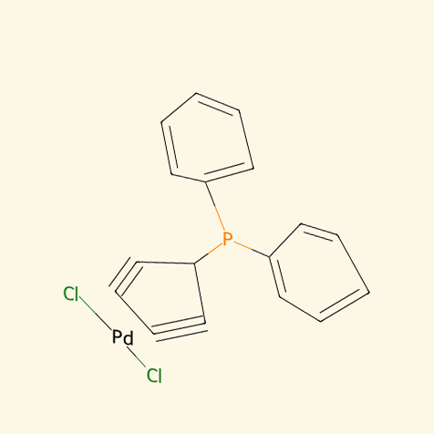 C1#CC(P(c2ccccc2)c2ccccc2)C#C1.[Cl][Pd][Cl]